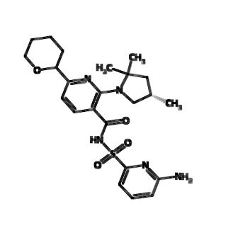 C[C@@H]1CN(c2nc(C3CCCCO3)ccc2C(=O)NS(=O)(=O)c2cccc(N)n2)C(C)(C)C1